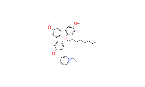 CCCCCCCC[B-](c1ccc(OC)cc1)(c1ccc(OC)cc1)c1ccc(OC)cc1.CC[n+]1ccccc1